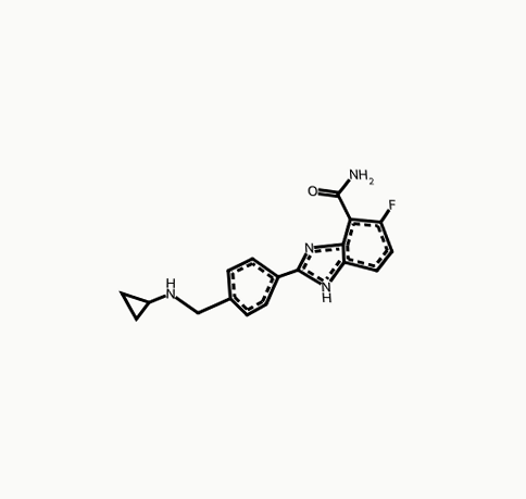 NC(=O)c1c(F)ccc2[nH]c(-c3ccc(CNC4CC4)cc3)nc12